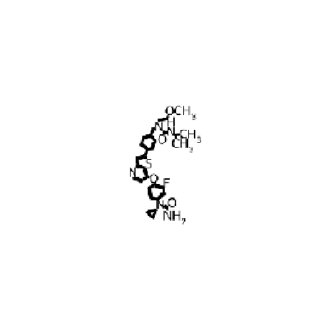 COCCN(Cc1ccc(-c2cc3nccc(Oc4ccc(N(C(N)=O)C5CC5)cc4F)c3s2)cc1)C(=O)NC(C)C